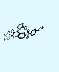 CC1(C)Oc2ccc(S(=O)(=O)c3ccc(C#N)cc3)cc2C(N2CCCC2=O)C1O